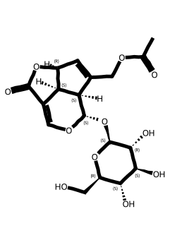 CC(=O)OCC1=C[C@@H]2OC(=O)C3=CO[C@@H](O[C@@H]4O[C@H](CO)[C@@H](O)[C@H](O)[C@H]4O)[C@H]1[C@@H]32